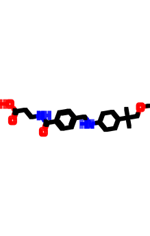 COCC(C)(C)C1CCC(NCc2ccc(C(=O)NCCC(=O)O)cc2)CC1